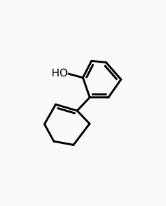 Oc1ccccc1C1=CCCCC1